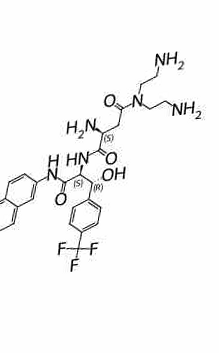 NCCN(CCN)C(=O)C[C@H](N)C(=O)N[C@H](C(=O)Nc1ccc2ccccc2c1)[C@H](O)c1ccc(C(F)(F)F)cc1